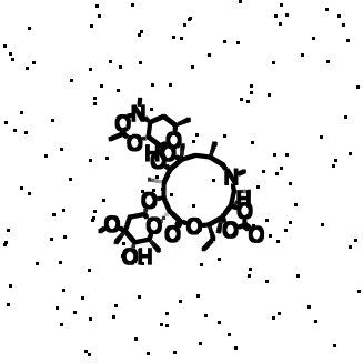 CC[C@H]1OC(=O)[C@H](C)[C@@H](O[C@H]2C[C@@](C)(OC)[C@@H](O)[C@H](C)O2)[C@H](C)[C@@H](O[C@@H]2O[C@H](C)C[C@H](N(C)C)[C@H]2OC(C)=O)[C@](C)(O)C[C@@H](C)CN(C)[C@H](C)[C@H]2OC(=O)O[C@@]21C